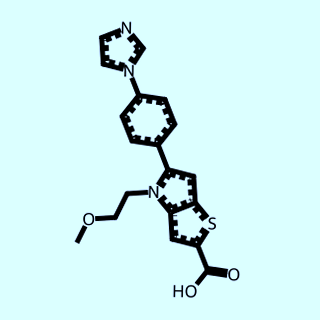 COCCn1c(-c2ccc(-n3ccnc3)cc2)cc2sc(C(=O)O)cc21